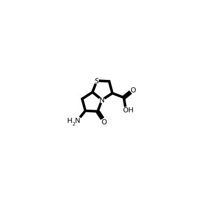 NC1CC2SCC(C(=O)O)N2C1=O